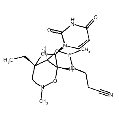 CC[C@@]12CN(C)O[C@@H]([C@H](n3ccc(=O)[nH]c3=O)O1)[C@@H]2OP(C)OCCC#N